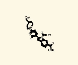 CNC(=O)c1ccc2cc(-c3ccc(N4CCC(CO)CC4)nc3F)n(C(=O)O)c2c1